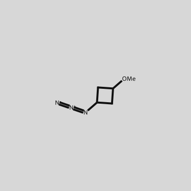 COC1CC(N=[N+]=[N-])C1